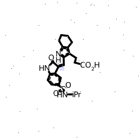 CC(C)NS(=O)(=O)c1ccc2c(c1)/C(=C/c1[nH]c3c(c1CCC(=O)O)CCCC3)C(=O)N2